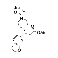 COC(=O)CC(c1ccc2c(c1)OCC2)C1CCN(C(=O)OC(C)(C)C)CC1